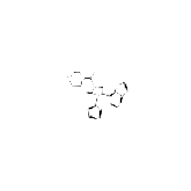 CC(N1CCNCC1)N1CC(c2cccc3cc[nH]c23)N(c2ccccc2)C1=O